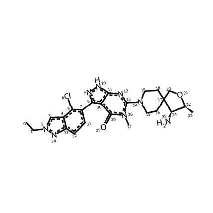 CCn1cc2c(Cl)c(-c3n[nH]c4nc(N5CCC6(CC5)CO[C@@H](C)[C@H]6N)n(C)c(=O)c34)ccc2n1